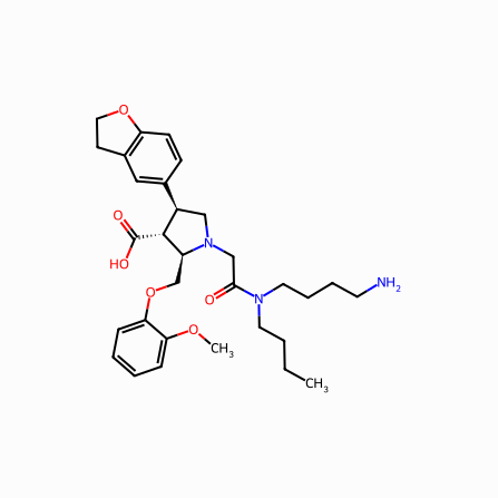 CCCCN(CCCCN)C(=O)CN1C[C@H](c2ccc3c(c2)CCO3)[C@@H](C(=O)O)[C@@H]1COc1ccccc1OC